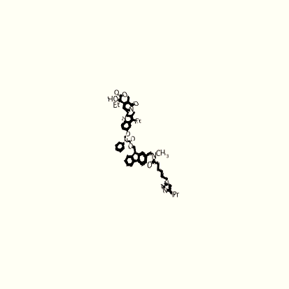 CCc1c2c(nc3ccc(OCN(C(=O)OCC4c5ccccc5-c5ccc(CN(C)C(=O)CCCCCn6cc(C(C)C)nn6)cc54)c4ccccc4)cc13)-c1cc3c(c(=O)n1C2)COC(=O)[C@]3(O)CC